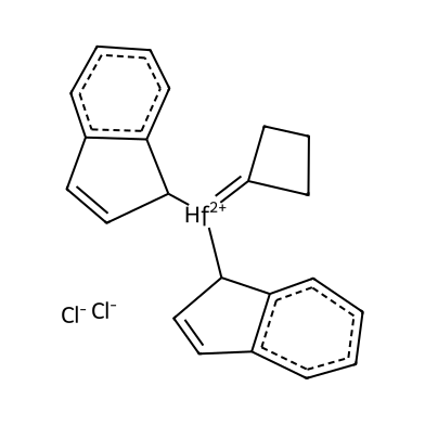 C1=C[CH]([Hf+2](=[C]2CCC2)[CH]2C=Cc3ccccc32)c2ccccc21.[Cl-].[Cl-]